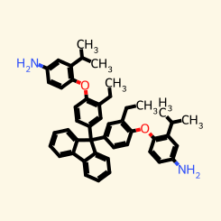 CCc1cc(C2(c3ccc(Oc4ccc(N)cc4C(C)C)c(CC)c3)c3ccccc3-c3ccccc32)ccc1Oc1ccc(N)cc1C(C)C